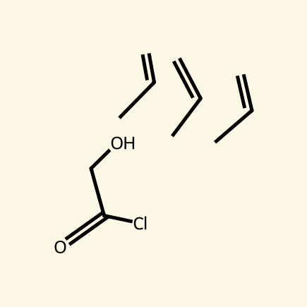 C=CC.C=CC.C=CC.O=C(Cl)CO